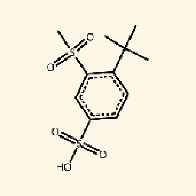 CC(C)(C)c1ccc(S(=O)(=O)O)cc1S(C)(=O)=O